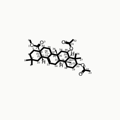 COC(=O)[C@]12CCC(C)(C)C[C@H]1C1=CC[C@@H]3[C@@]4(C)CC[C@H](OC(C)=O)C(C)(C)[C@@H]4[C@H](OC(C)=O)C[C@@]3(C)[C@]1(C)CC2